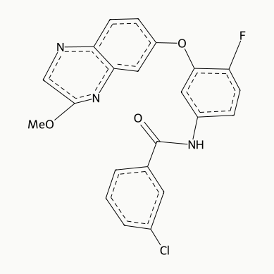 COc1cnc2ccc(Oc3cc(NC(=O)c4cccc(Cl)c4)ccc3F)cc2n1